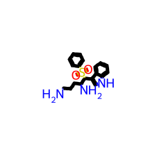 NCCCC(N)C(c1c[nH]c2ccccc12)S(=O)(=O)c1ccccc1